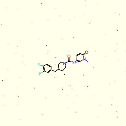 Cn1cc(NC(=O)N2CCC(Cc3ccc(F)c(F)c3)CC2)ccc1=O